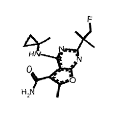 Cc1oc2nc(C(C)(C)CF)nc(NC3(C)CC3)c2c1C(N)=O